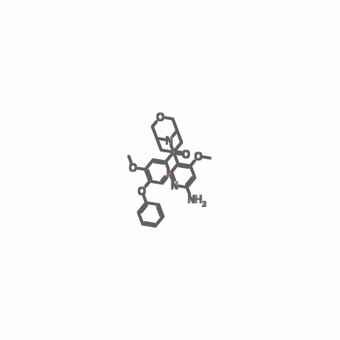 COc1cc(C(=O)N2C3COCC2CC(c2cnc(N)cc2OC)C3)ncc1Oc1ccccc1